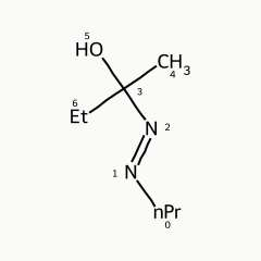 CCCN=NC(C)(O)CC